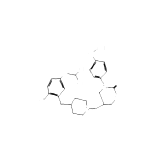 COc1ccc(N2CC(CN3CCC(Cc4cc(OC(C)C)ccc4Cl)CC3)COC2=O)cc1